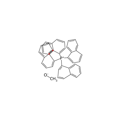 C[O-].c1ccc2c([P+](c3cccc4ccccc34)(c3cccc4ccccc34)c3cccc4ccccc34)cccc2c1